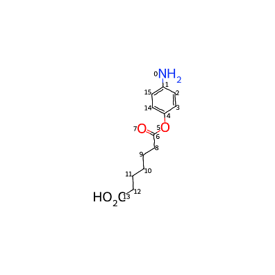 Nc1ccc(OC(=O)CCCCCC(=O)O)cc1